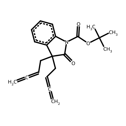 C=C=CCC1(CC=C=C)C(=O)N(C(=O)OC(C)(C)C)c2ccccc21